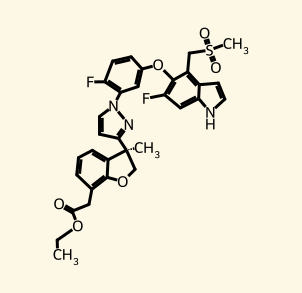 CCOC(=O)Cc1cccc2c1OC[C@]2(C)c1ccn(-c2cc(Oc3c(F)cc4[nH]ccc4c3CS(C)(=O)=O)ccc2F)n1